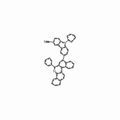 N#Cc1ccc2c(c1)c1cc(-c3cc4c(-c5ccccc5)nc5c6ccccc6ccc5c4c4ccccc34)ccc1n2-c1ccccc1